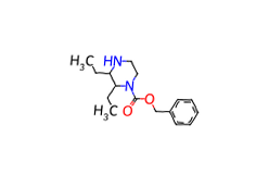 CCC1NCCN(C(=O)OCc2ccccc2)C1CC